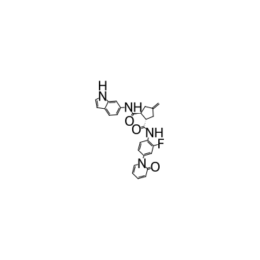 C=C1C[C@H](C(=O)Nc2ccc3cc[nH]c3c2)[C@@H](C(=O)Nc2ccc(-n3ccccc3=O)cc2F)C1